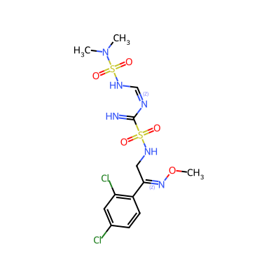 CO/N=C(\CNS(=O)(=O)C(=N)/N=C\NS(=O)(=O)N(C)C)c1ccc(Cl)cc1Cl